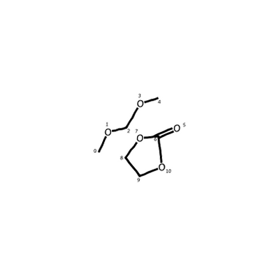 COCOC.O=C1OCCO1